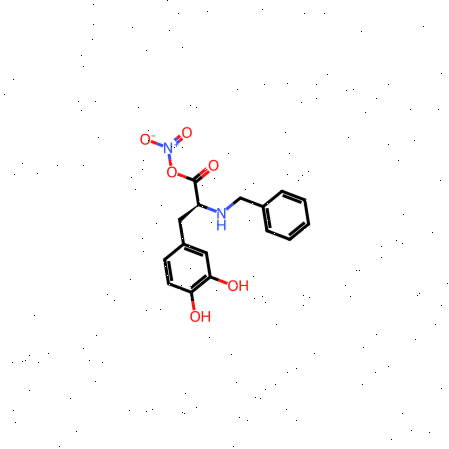 O=C(O[N+](=O)[O-])[C@H](Cc1ccc(O)c(O)c1)NCc1ccccc1